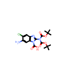 CC(C)(C)OC(=O)N(C(=O)OC(C)(C)C)c1nc2cc(Cl)c(N)cc2n1C(=O)O